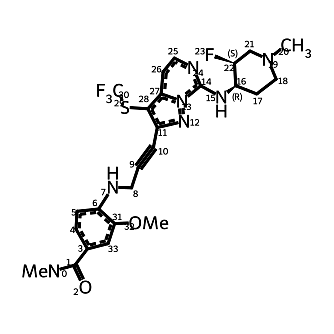 CNC(=O)c1ccc(NCC#Cc2nn3c(N[C@@H]4CCN(C)C[C@@H]4F)nccc3c2SC(F)(F)F)c(OC)c1